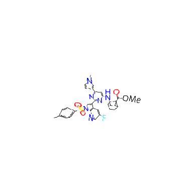 COC(=O)C1C2CCC(CC2)C1Nc1cc(-c2ccn(C)c2)nc(-c2cn(S(=O)(=O)c3ccc(C)cc3)c3ncc(F)cc23)n1